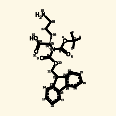 CC(C)(C)OC(=O)N(C(=O)OCC1c2ccccc2-c2ccccc21)[C@@H](CCCN)C(=O)O